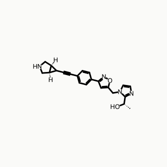 C[C@H](O)c1nccn1Cc1cc(-c2ccc(C#CC3[C@H]4CNC[C@@H]34)cc2)no1